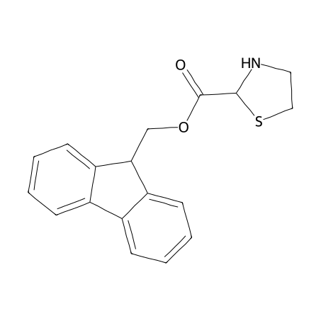 O=C(OCC1c2ccccc2-c2ccccc21)C1NCCS1